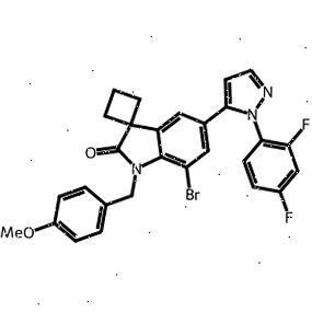 COc1ccc(CN2C(=O)C3(CCC3)c3cc(-c4ccnn4-c4ccc(F)cc4F)cc(Br)c32)cc1